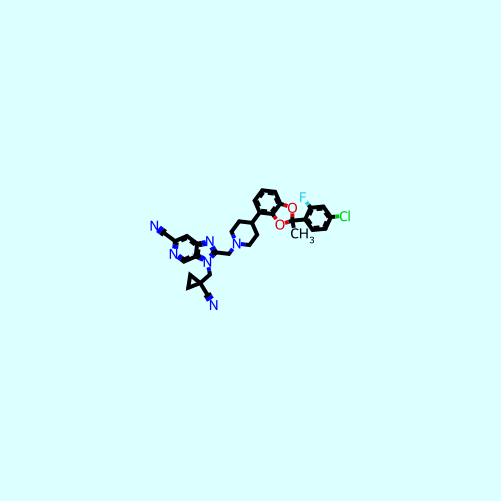 CC1(c2ccc(Cl)cc2F)Oc2cccc(C3CCN(Cc4nc5cc(C#N)ncc5n4CC4(C#N)CC4)CC3)c2O1